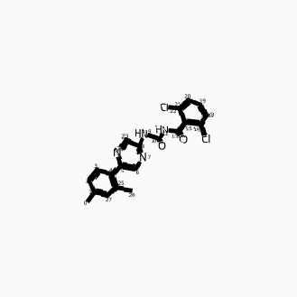 Cc1ccc(-c2cnc(NC(=O)NC(=O)c3c(Cl)cccc3Cl)cn2)c(C)c1